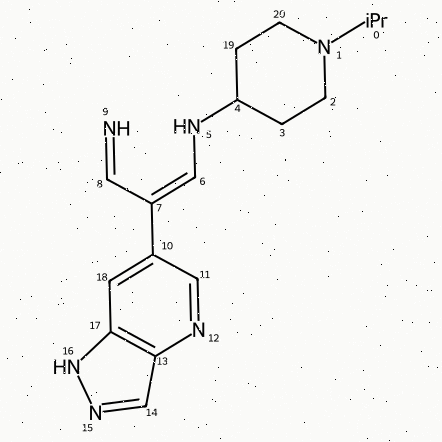 CC(C)N1CCC(N/C=C(\C=N)c2cnc3cn[nH]c3c2)CC1